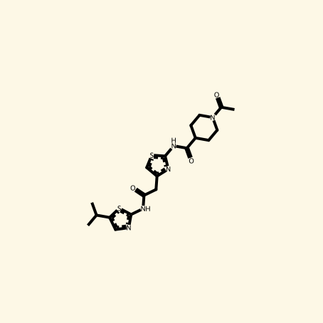 CC(=O)N1CCC(C(=O)Nc2nc(CC(=O)Nc3ncc(C(C)C)s3)cs2)CC1